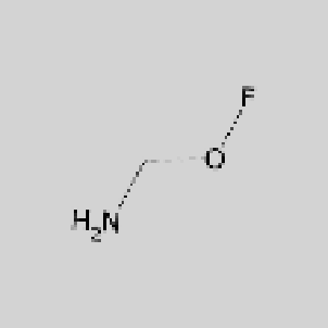 NCOF